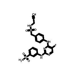 C#CCNS(=O)(=O)Cc1ccc(Nc2nc(Nc3cccc(S(N)(=O)=O)c3)ncc2F)cc1